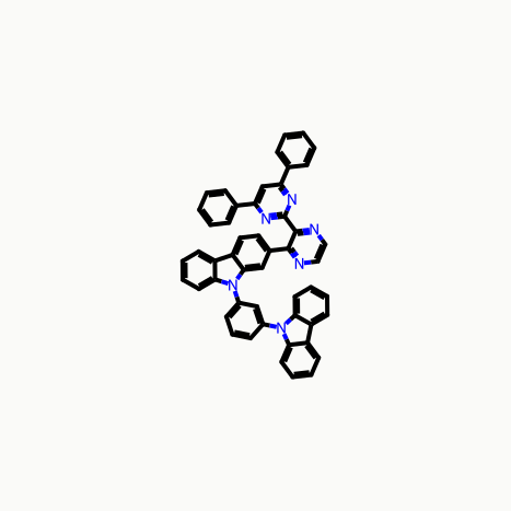 c1ccc(-c2cc(-c3ccccc3)nc(-c3nccnc3-c3ccc4c5ccccc5n(-c5cccc(-n6c7ccccc7c7ccccc76)c5)c4c3)n2)cc1